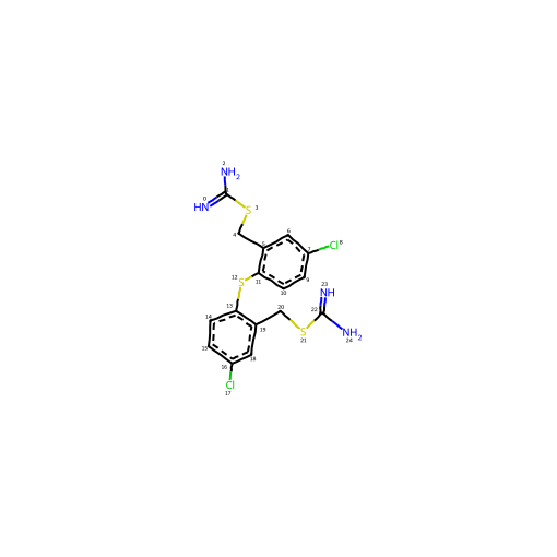 N=C(N)SCc1cc(Cl)ccc1Sc1ccc(Cl)cc1CSC(=N)N